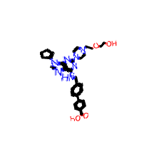 O=C(O)c1ccc(-c2ccc(CNc3nc(N4CCN(CCOCCO)CC4)nc4c3ncn4C3CCCC3)cc2)cc1